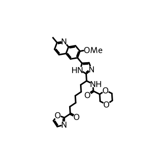 COc1cc2nc(C)ccc2cc1-c1cnc(C(CCCCCC(=O)c2ncco2)NC(=O)C2COCCO2)[nH]1